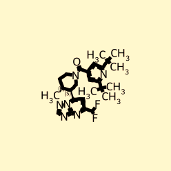 C[C@@H]1CCN(C(=O)c2cc(C(C)(C)C)nc(C(C)(C)C)c2)C[C@H]1c1cc(C(F)F)nc2ncnn12